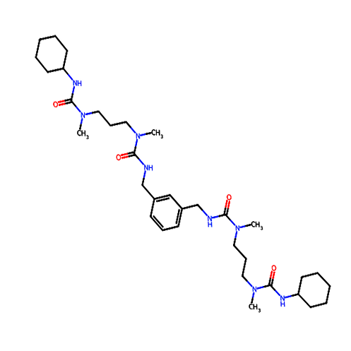 CN(CCCN(C)C(=O)NC1CCCCC1)C(=O)NCc1cccc(CNC(=O)N(C)CCCN(C)C(=O)NC2CCCCC2)c1